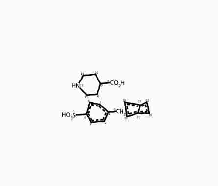 Cc1ccc(S(=O)(=O)O)cc1.O=C(O)C1CCNCC1.c1cc2ccc1-2